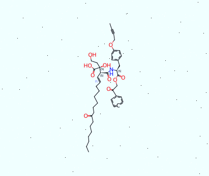 CC#CCOc1ccc(C[C@H](NC(=O)[C@@H](/C=C/CCCCCCC(=O)CCCCCCC)[C@@](O)(CCO)C(=O)O)C(=O)OCC(=O)c2ccccc2)cc1